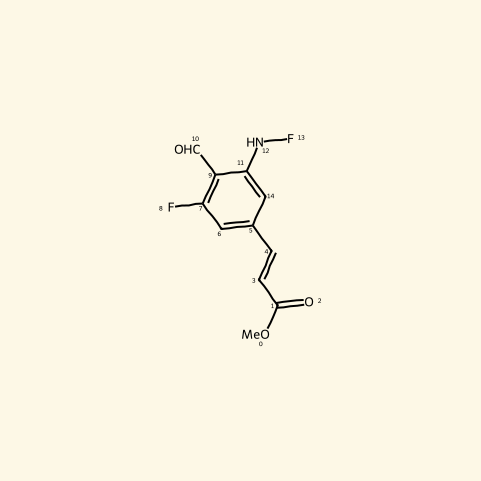 COC(=O)/C=C/c1cc(F)c(C=O)c(NF)c1